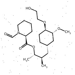 CO[C@@H]1C[C@H](C[C@@H](C)[C@H](C)OC(=O)[C@@H]2CCCCN2C=O)CC[C@H]1OCCO